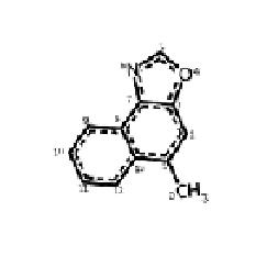 Cc1cc2ocnc2c2ccccc12